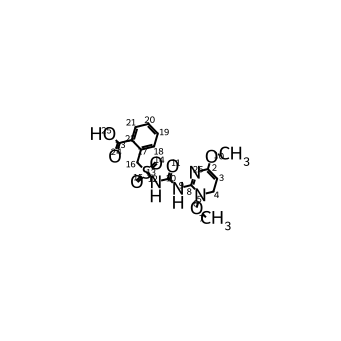 COC1=CCN(OC)C(NC(=O)NS(=O)(=O)Cc2ccccc2C(=O)O)=N1